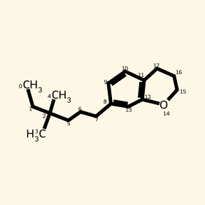 CCC(C)(C)CCCc1ccc2c(c1)OCCC2